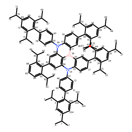 CC(C)c1cc(C(C)C)c(-c2ccc(N3c4ccc(-c5c(C(C)C)cc(C(C)C)cc5C(C)C)cc4B4c5cc(-c6c(C(C)C)cc(C(C)C)cc6C(C)C)ccc5N(c5ccc(-c6c(C(C)C)cc(C(C)C)cc6C(C)C)cc5)c5cc(-c6c(C(C)C)cccc6C(C)C)cc3c54)cc2)c(C(C)C)c1